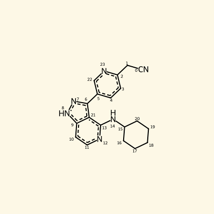 N#CCc1ccc(-c2n[nH]c3ccnc(NC4CCCCC4)c23)cn1